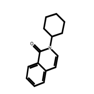 O=c1c2ccccc2ccn1C1CCCCC1